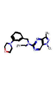 CCn1nc(C(C)(C)C)c2nc(N(Cc3cccc(N4CCOCC4)c3)CC(C)C)ncc21